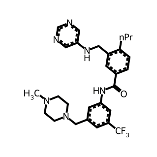 CCCc1ccc(C(=O)Nc2cc(CN3CCN(C)CC3)cc(C(F)(F)F)c2)cc1CNc1cncnc1